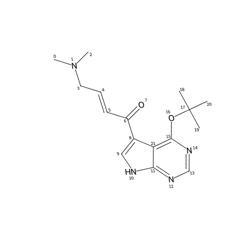 CN(C)C/C=C/C(=O)c1c[nH]c2ncnc(OC(C)(C)C)c12